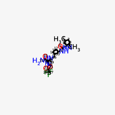 Cc1ccc(C)c(NC(=O)Nc2cccc(CNc3cn(OC(=O)C(F)(F)F)nc3C(N)=O)c2)c1